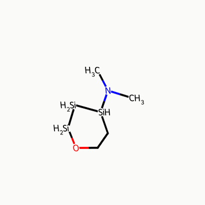 CN(C)[SiH]1CCO[SiH2][SiH2]1